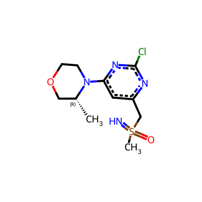 C[C@@H]1COCCN1c1cc(CS(C)(=N)=O)nc(Cl)n1